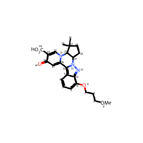 COCCCOc1cccc2c3n(nc12)C1CCC(C)(C)C1n1cc(C(=O)O)c(=O)cc1-3